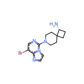 N[C@@H]1CCC12CCN(c1ncc(Br)c3nccn13)CC2